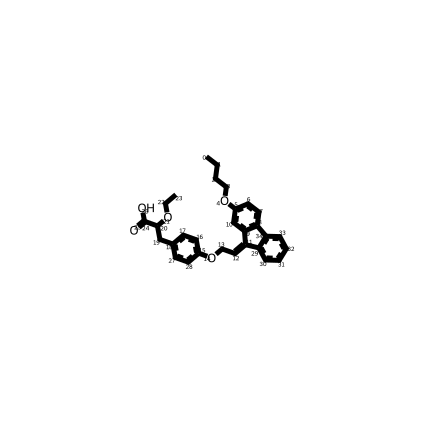 CCCCOc1ccc2c(c1)C(=CCOc1ccc(CC(OCC)C(=O)O)cc1)c1ccccc1-2